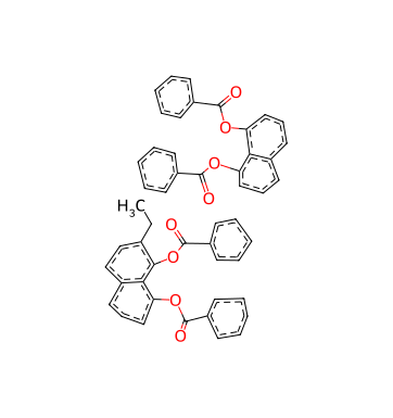 CCc1ccc2cccc(OC(=O)c3ccccc3)c2c1OC(=O)c1ccccc1.O=C(Oc1cccc2cccc(OC(=O)c3ccccc3)c12)c1ccccc1